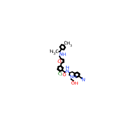 Cc1ccc(C(C)NCc2ccc(-c3ccc(Cl)c(C(=O)NC(CNCCO)Cc4ccc(C#N)cc4)c3)o2)cc1